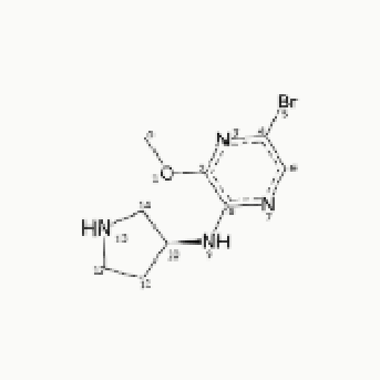 COc1nc(Br)cnc1N[C@H]1CCNC1